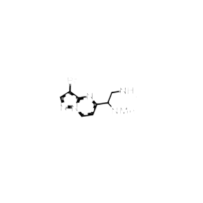 CNC(CN)c1ccn2ncc(Br)c2n1